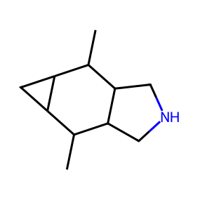 CC1C2CNCC2C(C)C2CC12